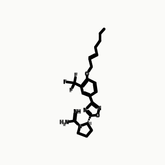 CCCCC=CCOc1ccc(-c2noc([C@@H]3CCCN3C(=N)N)n2)cc1C(F)(F)F